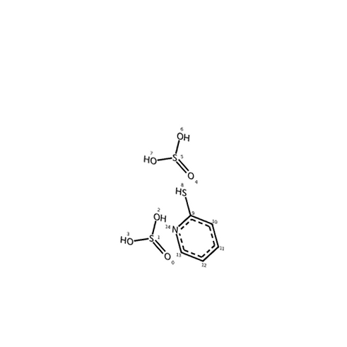 O=S(O)O.O=S(O)O.Sc1ccccn1